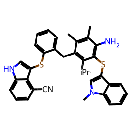 C[C](C)c1c(Cc2ccccc2Sc2c[nH]c3cccc(C#N)c23)c(C)c(C)c(N)c1Sc1cn(C)c2ccccc12